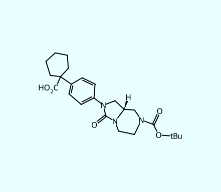 CC(C)(C)OC(=O)N1CCN2C(=O)N(c3ccc(C4(C(=O)O)CCCCC4)cc3)C[C@@H]2C1